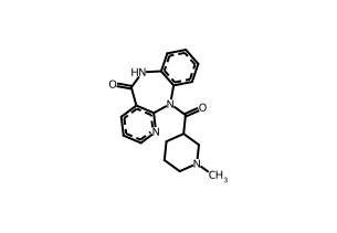 CN1CCCC(C(=O)N2c3ccccc3NC(=O)c3cccnc32)C1